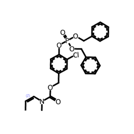 C/C=C\N(C)C(=O)OCc1ccc(OP(=O)(OCc2ccccc2)OCc2ccccc2)c(Cl)c1